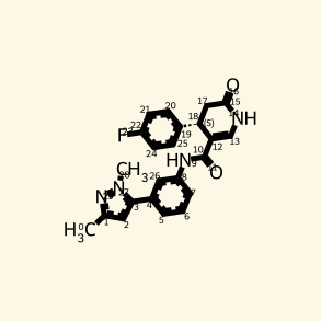 Cc1cc(-c2cccc(NC(=O)C3=CNC(=O)C[C@H]3c3ccc(F)cc3)c2)n(C)n1